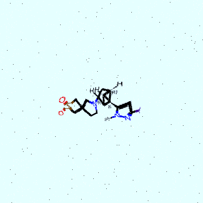 CC(C)n1nc(I)cc1[C@]12C3[C@H](N4CCC5(C4)CS(=O)(=O)C5)C[C@@H]1[C@H]32